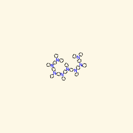 c1ccc(N(c2ccccc2)c2ccc(N(c3ccccc3)c3ccc(N(c4ccccc4)c4ccc(N(c5ccccc5)c5ccc(N(c6ccccc6)c6ccc(N(c7ccccc7)c7ccc(N(c8ccccc8)c8ccc(N(c9ccccc9)c9ccccc9)cc8)cc7)cc6)cc5)cc4)cc3)cc2)cc1